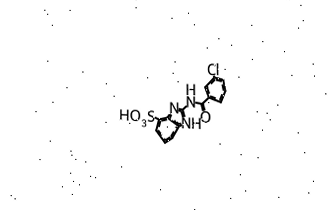 O=C(Nc1nc2c(S(=O)(=O)O)cccc2[nH]1)c1cccc(Cl)c1